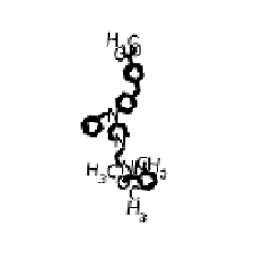 COC(=O)c1ccc(Cc2ccc(N(Cc3ccccc3)C3CCN(CCC(C)NC(=O)c4c(C)cccc4C)CC3)cc2)cc1